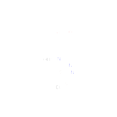 CCSc1nnc(N(C=O)c2ccc3c(c2)OCO3)s1